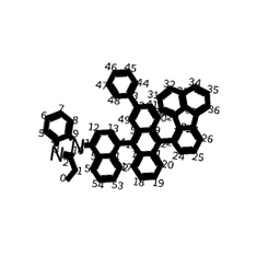 CCc1nc2ccccc2n1-c1ccc(-c2c3ccccc3c(-c3cccc4c3-c3cccc5cccc-4c35)c3ccc(-c4ccccc4)cc23)c2ccccc12